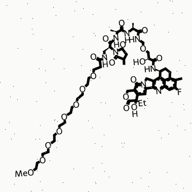 CC[C@@]1(O)C(=O)OCc2c1cc1n(c2=O)Cc2c-1nc1cc(F)c(C)c3c1c2[C@@H](NC(=O)[C@H](O)COCNC(=O)[C@H](C)NC(=O)[C@H](C)NC(=O)[C@H](CNC(=O)CCOCCOCCOCCOCCOCCOCCOCCOC)N1C(=O)CC(C)C1=O)CC3